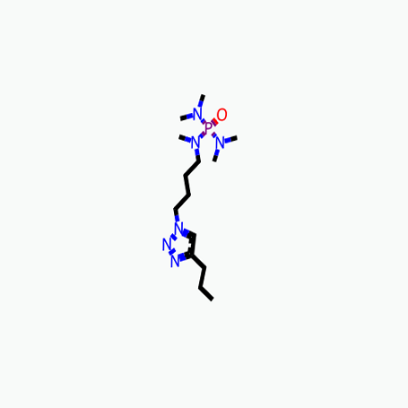 CCCc1cn(CCCCN(C)P(=O)(N(C)C)N(C)C)nn1